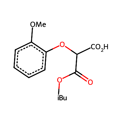 CCC(C)OC(=O)C(Oc1ccccc1OC)C(=O)O